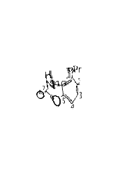 [CH2]CCc1cccc2oc(=O)[nH]c12